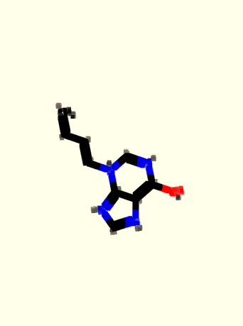 C=CC=Cn1cnc(O)c2ncnc1-2